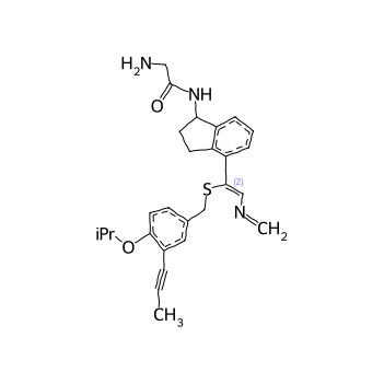 C=N/C=C(\SCc1ccc(OC(C)C)c(C#CC)c1)c1cccc2c1CCC2NC(=O)CN